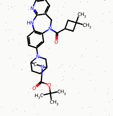 CC1(C)CC(C(=O)N2Cc3cccnc3Nc3ccc(N4CC5CCC4CN5C(=O)OC(C)(C)C)cc32)C1